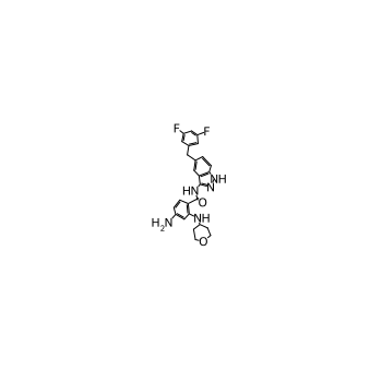 Nc1ccc(C(=O)Nc2n[nH]c3ccc(Cc4cc(F)cc(F)c4)cc23)c(NC2CCOCC2)c1